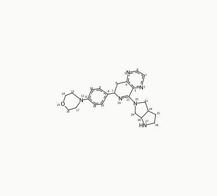 c1cnc2c(n1)CC(c1ccc(N3CCOCC3)cc1)N=C2N1CC2CCNC2C1